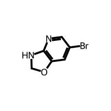 Brc1cnc2c(c1)OCN2